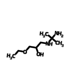 CCOCC(O)CNC(C)(C)N